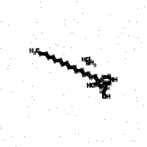 CCCCCCCCCCCCCCCCCCN1CCNCC1(CCO)CCO.Cl.N